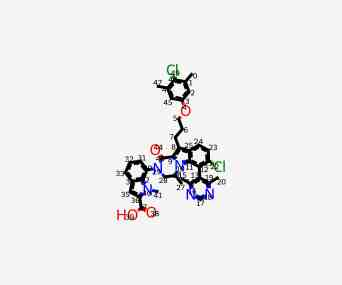 Cc1cc(OCCCc2c3n(c4c(-c5c(C)ncnc5C)c(Cl)ccc24)C(C)CN(c2cccc4cc(C(=O)O)n(C)c24)C3=O)cc(C)c1Cl